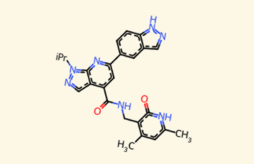 Cc1cc(C)c(CNC(=O)c2cc(-c3ccc4[nH]ncc4c3)nc3c2cnn3C(C)C)c(=O)[nH]1